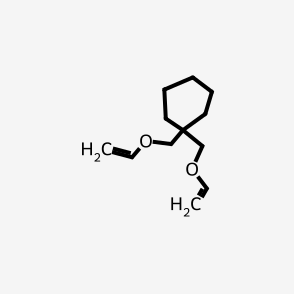 C=COCC1(COC=C)CCCCC1